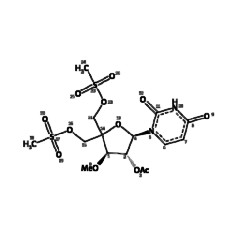 CO[C@@H]1[C@@H](OC(C)=O)[C@H](n2ccc(=O)[nH]c2=O)OC1(COS(C)(=O)=O)COS(C)(=O)=O